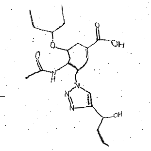 CCC(CC)OC1CC(C(=O)O)=CC(n2cc(C(O)CC)nn2)C1NC(C)=O